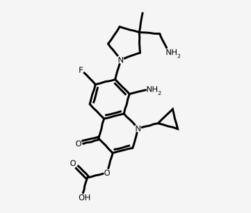 CC1(CN)CCN(c2c(F)cc3c(=O)c(OC(=O)O)cn(C4CC4)c3c2N)C1